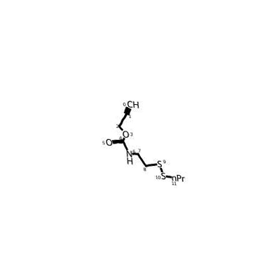 C#CCOC(=O)NCCSSCCC